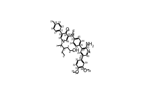 CCC(CCO)C(C)n1cc(-c2ccc(C)cc2)c(=O)c(N(F)c2ccc(-c3cc(-c4ccc(OC)c(OC)c4)cnc3N)cc2)c1